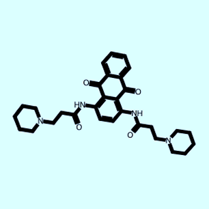 O=C(CCN1CCCCC1)Nc1ccc(NC(=O)CCN2CCCCC2)c2c1C(=O)c1ccccc1C2=O